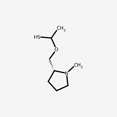 CC(S)OC[C@H]1CCCN1C